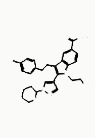 COC(=O)c1ccc2c(c1)c(CCc1ccc(C)cc1)c(-c1cnn(C3CCCCO3)c1)n2CCC#N